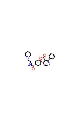 CN(CCN1CCCCC1)C(=O)[C@H]1CC[C@@]2(CC1)OC(=O)c1c(-c3ccccc3)nccc12